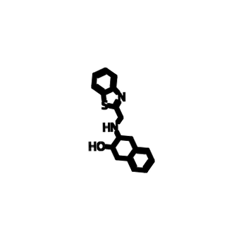 OC1Cc2ccccc2CC1NCc1nc2ccccc2s1